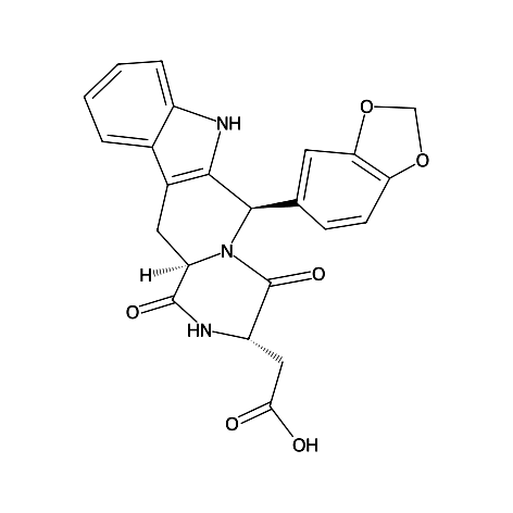 O=C(O)C[C@@H]1NC(=O)[C@H]2Cc3c([nH]c4ccccc34)[C@@H](c3ccc4c(c3)OCO4)N2C1=O